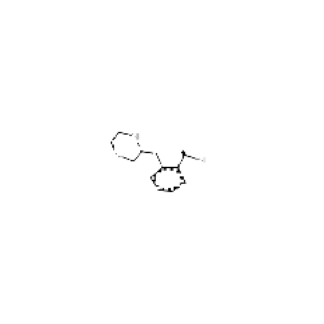 NC(=O)c1ccccc1CC1CNCCN1